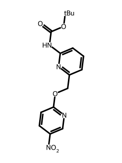 CC(C)(C)OC(=O)Nc1cccc(COc2ccc([N+](=O)[O-])cn2)n1